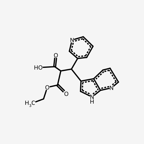 CCOC(=O)C(C(=O)O)C(c1cccnc1)c1c[nH]c2ncccc12